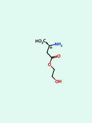 N[C@@H](CC(=O)OCCO)C(=O)O